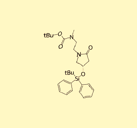 CN(CCN1C[C@@H](O[Si](c2ccccc2)(c2ccccc2)C(C)(C)C)CC1=O)C(=O)OC(C)(C)C